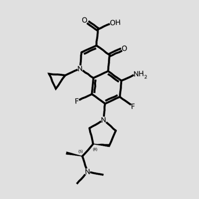 C[C@@H]([C@@H]1CCN(c2c(F)c(N)c3c(=O)c(C(=O)O)cn(C4CC4)c3c2F)C1)N(C)C